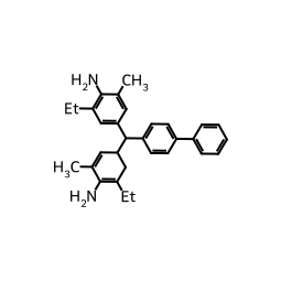 CCC1=C(N)C(C)=CC(C(c2ccc(-c3ccccc3)cc2)c2cc(C)c(N)c(CC)c2)C1